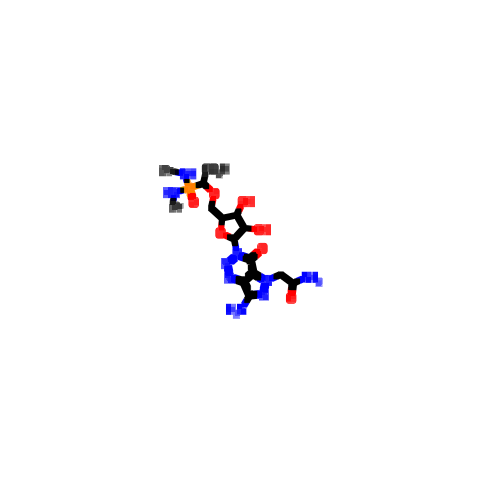 CC(C)NP(=O)(NC(C)C)C(OCC1OC(n2nnc3c(N)nn(CC(N)=O)c3c2=O)C(O)C1O)C(=O)O